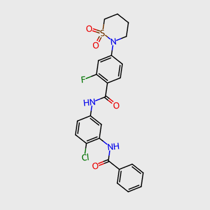 O=C(Nc1cc(NC(=O)c2ccc(N3CCCCS3(=O)=O)cc2F)ccc1Cl)c1ccccc1